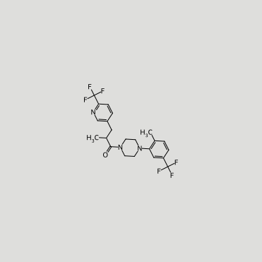 Cc1ccc(C(F)(F)F)cc1N1CCN(C(=O)C(C)Cc2ccc(C(F)(F)F)nc2)CC1